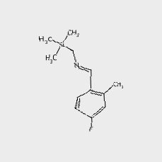 Cc1cc(F)ccc1C=NC[Si](C)(C)C